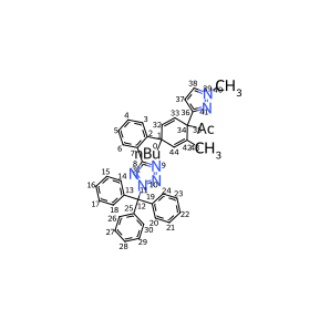 CCCCC1(c2ccccc2-c2nnn(C(c3ccccc3)(c3ccccc3)c3ccccc3)n2)C=CC(C(C)=O)(c2ccn(C)n2)C(C)=C1